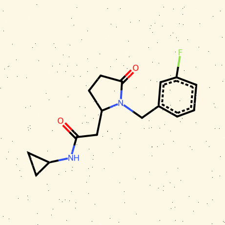 O=C(CC1CCC(=O)N1Cc1cccc(F)c1)NC1CC1